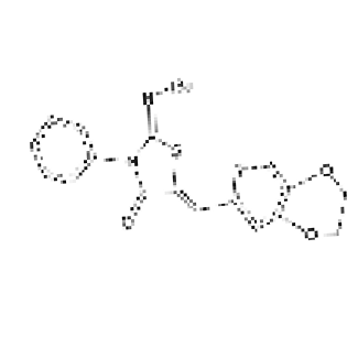 CC(C)(C)/N=C1\S/C(=C\c2ccc3c(c2)OCCO3)C(=O)N1c1ccccc1